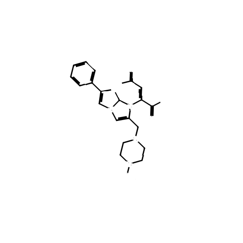 CN1CCN(CC2=CN3C=C(c4ccccc4)SC3N2/C(=C\C(=O)O)C(=O)O)CC1